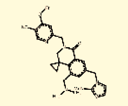 CCOc1cc(CN2CC3(CC3)c3c(CN(C)C)cc(Cn4ccnc4NC)cc3C2=O)ncc1C#N